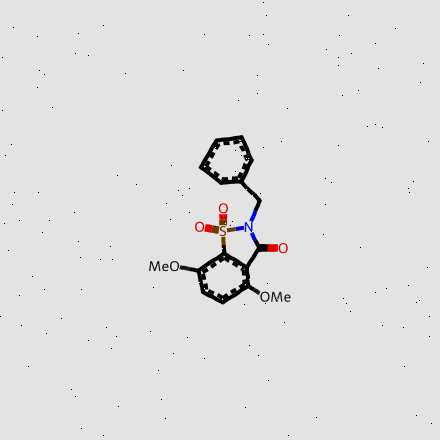 COc1ccc(OC)c2c1C(=O)N(Cc1ccccc1)S2(=O)=O